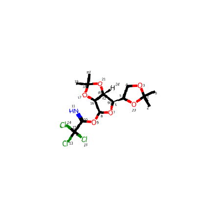 CC1(C)OCC([C@H]2OC(OC(=N)C(Cl)(Cl)Cl)C3OC(C)(C)O[C@@H]32)O1